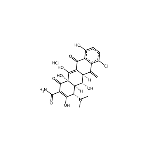 C=C1c2c(Cl)ccc(O)c2C(=O)C2=C(O)[C@]3(O)C(=O)C(C(N)=O)=C(O)[C@@H](N(C)C)[C@@H]3[C@@H](O)[C@H]12.Cl